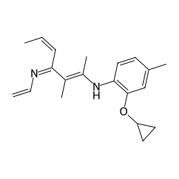 C=C/N=C(/C=C\C)C(\C)=C(/C)Nc1ccc(C)cc1OC1CC1